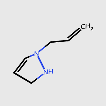 C=CCN1C=CCN1